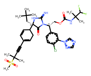 CC(C)(C)C[C@]1(C2C=CC(C#CC(C)(C)S(C)(=O)=O)=CC2)NC(=N)N([C@H](COC(=O)NC(C)(C)C(F)F)c2ccc(Cl)c(-n3cncn3)c2)C1=O